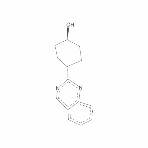 O[C@H]1CC[C@H](c2ncc3ccccc3n2)CC1